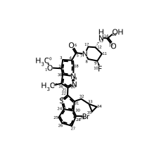 COc1cc(C(=O)N2C[C@H](F)C[C@@H](NC(=O)O)C2)cn2nc(-c3sc4cccc(Br)c4c3CC3CC3)c(C)c12